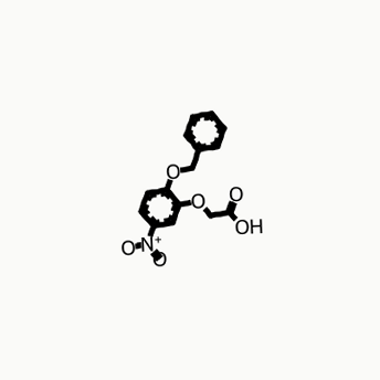 O=C(O)COc1cc([N+](=O)[O-])ccc1OCc1ccccc1